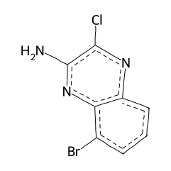 Nc1nc2c(Br)cccc2nc1Cl